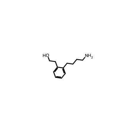 NCCCCc1ccccc1CCO